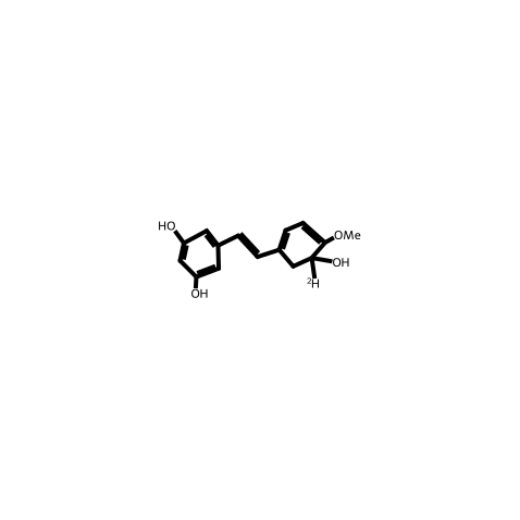 [2H]C1(O)CC(C=Cc2cc(O)cc(O)c2)=CC=C1OC